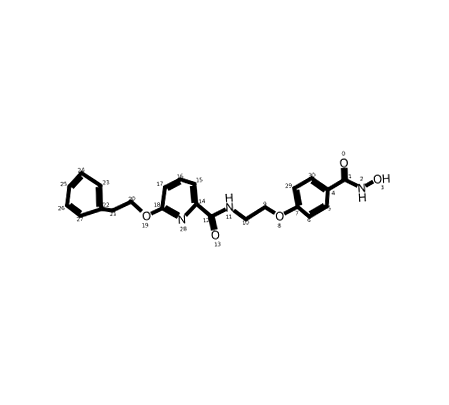 O=C(NO)c1ccc(OCCNC(=O)c2cccc(OCCc3ccccc3)n2)cc1